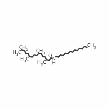 CCCCCCCCCCCCCCCNC(=O)CC(C)CCCC(C)CCCC(C)CCCC(C)C